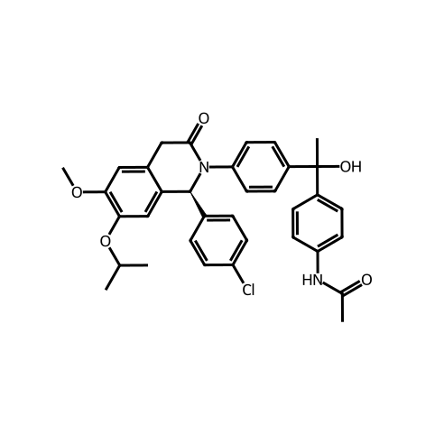 COc1cc2c(cc1OC(C)C)[C@H](c1ccc(Cl)cc1)N(c1ccc(C(C)(O)c3ccc(NC(C)=O)cc3)cc1)C(=O)C2